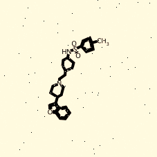 Cc1ccc(S(=O)(=O)NC2CCC(CCN3CCC(c4coc5ccccc45)CC3)CC2)cc1